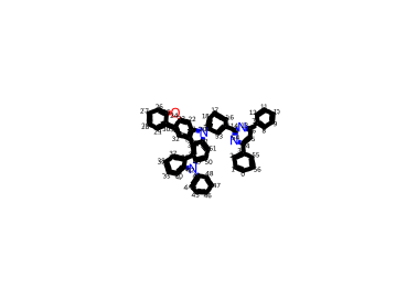 c1ccc(-c2cc(-c3ccccc3)nc(-c3cccc(-n4c5cc6oc7ccccc7c6cc5c5c6c7ccccc7n(-c7ccccc7)c6ccc54)c3)n2)cc1